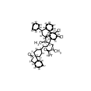 CC(C)C(=O)N(C)C[C@](CCC1CCC2(CC1)c1ccccc1C[S+]2[O-])(c1ccc(Cl)c(Cl)c1)N(C)C(=O)CC(c1ccccc1)c1ccccc1